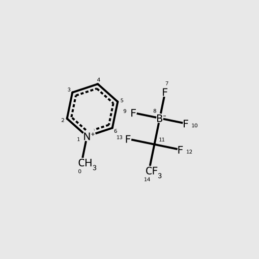 C[n+]1ccccc1.F[B-](F)(F)C(F)(F)C(F)(F)F